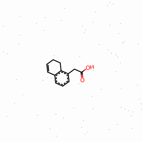 O=C(O)Cc1cccc2c1CCC=C2